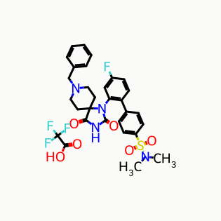 CN(C)S(=O)(=O)c1ccc(-c2ccc(F)cc2N2C(=O)NC(=O)C23CCN(Cc2ccccc2)CC3)cc1.O=C(O)C(F)(F)F